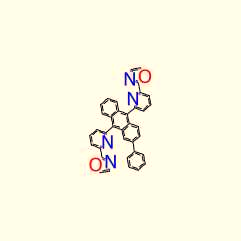 c1ccc(-c2ccc3c(-c4cccc(-c5ncco5)n4)c4ccccc4c(-c4cccc(-c5ncco5)n4)c3c2)cc1